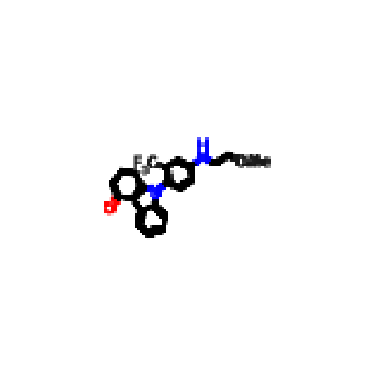 COCCNc1ccc(-n2c3c(c4ccccc42)C(=O)CCC3)c(C(F)(F)F)c1